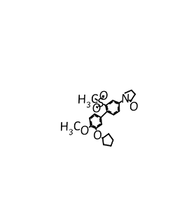 COc1ccc(-c2ccc(N3CCCC3=O)cc2S(C)(=O)=O)cc1OC1CCCC1